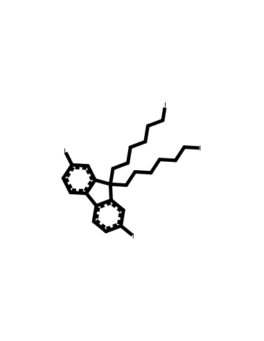 ICCCCCCC1(CCCCCCI)c2cc(I)ccc2-c2ccc(I)cc21